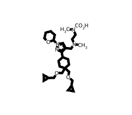 CN(CCN(C)C(=O)O)Cc1cn(C2CCCCO2)nc1C1CCC(COCC2CC2)(COCC2CC2)CC1